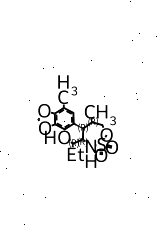 CC[C@@H](O)[C@@H]1NS(=O)(=O)OC[C@H](C)[C@@H]1c1cc(C)c2c(c1)OCO2